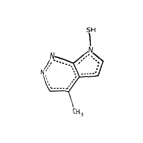 Cc1cnnc2c1ccn2S